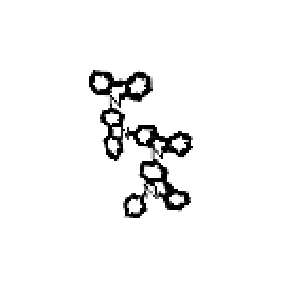 c1ccc(-n2c3ccccc3c3cc(-n4c5ccccc5c5ccc(-n6c7ccccc7c7ccc(-n8c9ccccc9c9ccccc98)cc76)cc54)ccc32)cc1